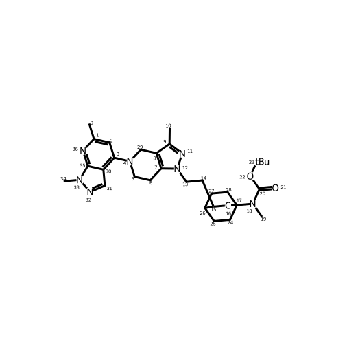 Cc1cc(N2CCc3c(c(C)nn3CCC3CC4(N(C)C(=O)OC(C)(C)C)CCC3CC4)C2)c2cnn(C)c2n1